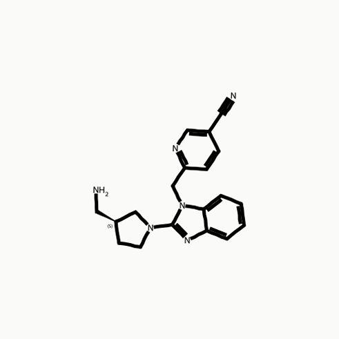 N#Cc1ccc(Cn2c(N3CC[C@@H](CN)C3)nc3ccccc32)nc1